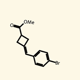 COC(=O)C1CC(=Cc2ccc(Br)cc2)C1